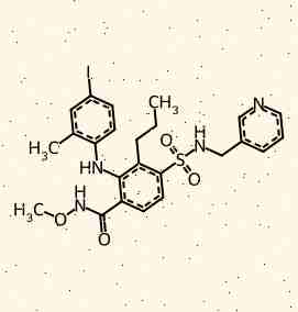 CCCc1c(S(=O)(=O)NCc2cccnc2)ccc(C(=O)NOC)c1Nc1ccc(I)cc1C